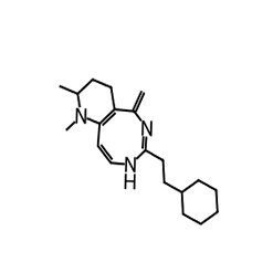 C=C1/N=C(/CCC2CCCCC2)N/C=C\C2=C1CCC(C)N2C